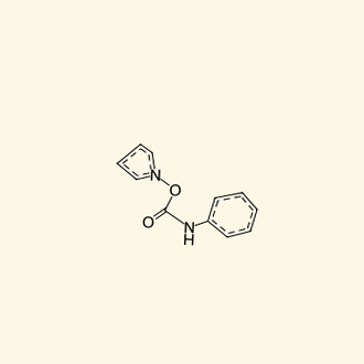 O=C(Nc1ccccc1)On1cccc1